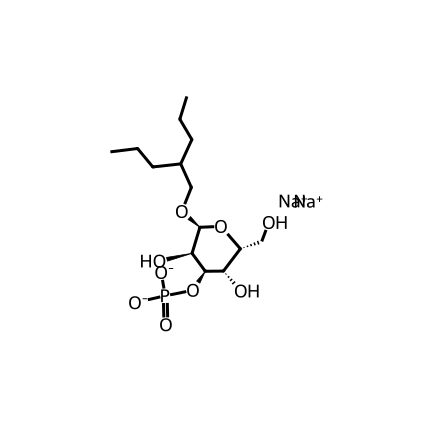 CCCC(CCC)CO[C@H]1O[C@H](CO)[C@H](O)[C@@H](OP(=O)([O-])[O-])[C@H]1O.[Na+].[Na+]